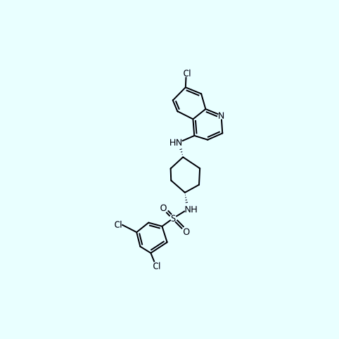 O=S(=O)(N[C@H]1CC[C@@H](Nc2ccnc3cc(Cl)ccc23)CC1)c1cc(Cl)cc(Cl)c1